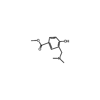 COC(=O)c1ccc(O)c(CN(C)C)c1